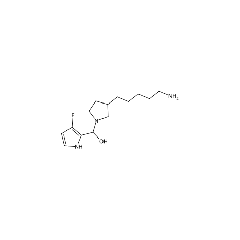 NCCCCCC1CCN(C(O)c2[nH]ccc2F)C1